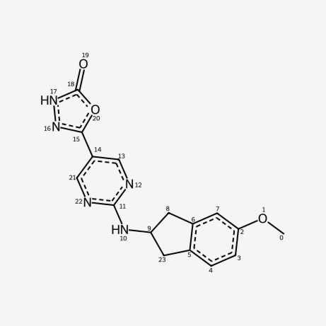 COc1ccc2c(c1)CC(Nc1ncc(-c3n[nH]c(=O)o3)cn1)C2